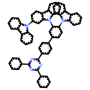 c1ccc(-c2nc(-c3ccccc3)nc(-c3ccc(-c4ccc(-n5c6ccccc6c6ccccc65)c(-n5c6ccccc6c6ccc(-n7c8ccccc8c8ccccc87)cc65)c4)cc3)n2)cc1